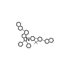 CC1(C)c2cc(-c3ccc4ccccc4c3)ccc2-c2ccc(-n3c(-c4ccccc4)c(-c4ccccc4)c4ccc5c(-c6ccc7ccccc7c6)cccc5c43)cc21